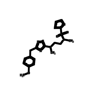 COc1ccc(Cc2nsc(N(C)CCN(C)S(=O)(=O)c3cccs3)n2)cc1